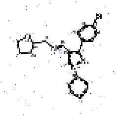 Brc1ccc(-c2nn(-c3ccccc3)cc2/C=N/CC2CCCO2)cc1